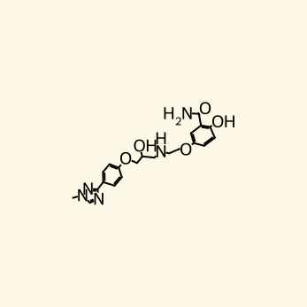 Cn1cnc(-c2ccc(OCC(O)CNCCOc3ccc(O)c(C(N)=O)c3)cc2)n1